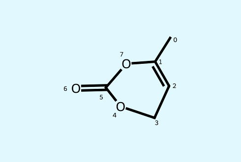 CC1=CCOC(=O)O1